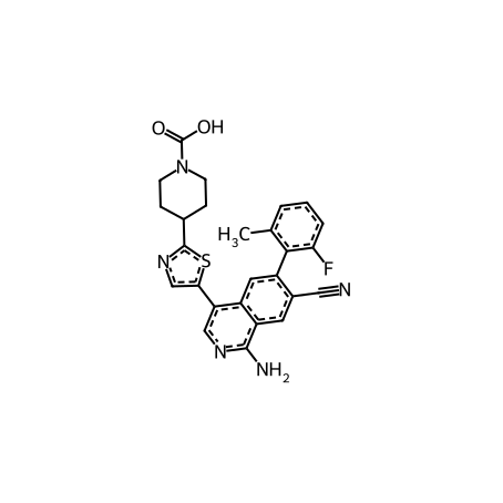 Cc1cccc(F)c1-c1cc2c(-c3cnc(C4CCN(C(=O)O)CC4)s3)cnc(N)c2cc1C#N